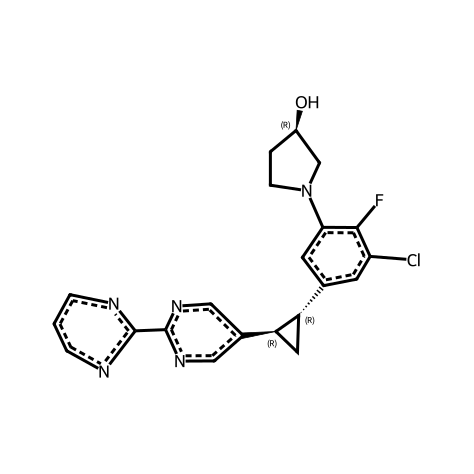 O[C@@H]1CCN(c2cc([C@@H]3C[C@H]3c3cnc(-c4ncccn4)nc3)cc(Cl)c2F)C1